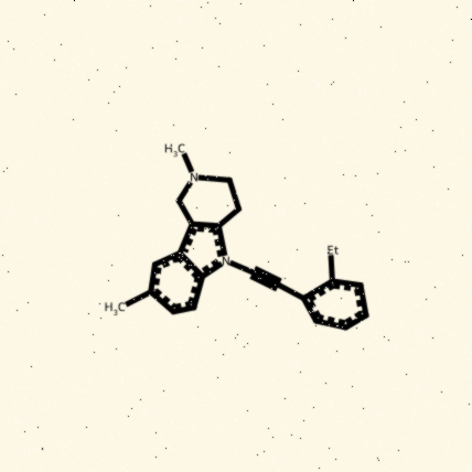 CCc1ccccc1C#Cn1c2c(c3cc(C)ccc31)CN(C)CC2